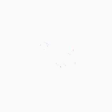 O=C1CO[C@H]2CCN(C(=O)N3CC4(CC(Cc5cncc(Cl)c5)C4)C3)C[C@H]2N1